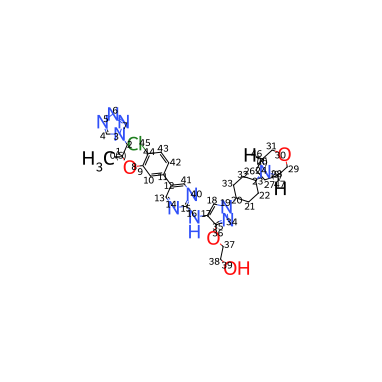 C[C@@H](Cn1cnnn1)Oc1cc(-c2cnc(Nc3cn([C@H]4CC[C@H](N5[C@@H]6CC[C@H]5COC6)CC4)nc3OCCO)nc2)ccc1Cl